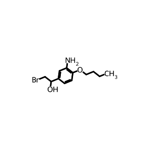 CCCCOc1ccc(C(O)CBr)cc1N